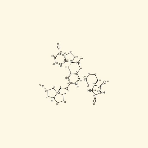 CN1Cc2c(nc(OC[C@@]34CCCN3C[C@H](F)C4)nc2N2CCC[C@]3(C2)NC(=O)NC3=O)C[C@]12CCc1c(Cl)cccc12